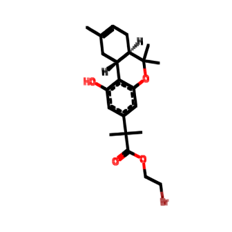 CC1=CC[C@@H]2[C@@H](C1)c1c(O)cc(C(C)(C)C(=O)OCCBr)cc1OC2(C)C